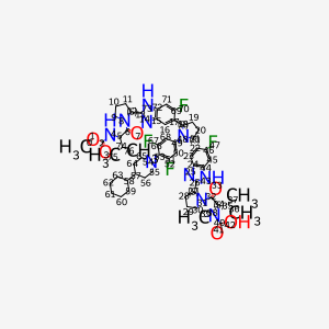 COC(=O)NC(C(=O)N1CCC[C@H]1c1nc2cc([C@H]3CC[C@H](c4cc5nc([C@@H]6CCCN6C(=O)[C@H](C(C)C)N(C)C(=O)O)[nH]c5cc4F)N3c3cc(F)c(N4CCC(C5CCCCC5)CC4)c(F)c3)c(F)cc2[nH]1)C(C)C